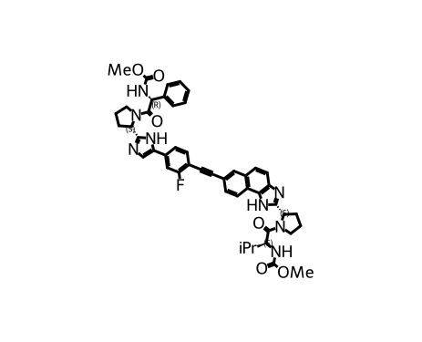 COC(=O)N[C@H](C(=O)N1CCC[C@H]1c1nc2ccc3cc(C#Cc4ccc(-c5cnc([C@@H]6CCCN6C(=O)[C@H](NC(=O)OC)c6ccccc6)[nH]5)cc4F)ccc3c2[nH]1)C(C)C